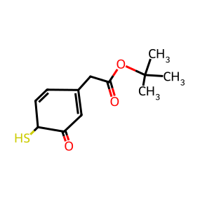 CC(C)(C)OC(=O)CC1=CC(=O)C(S)C=C1